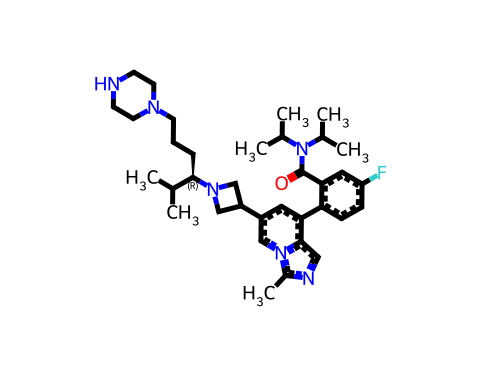 Cc1ncc2c(-c3ccc(F)cc3C(=O)N(C(C)C)C(C)C)cc(C3CN([C@H](CCCN4CCNCC4)C(C)C)C3)cn12